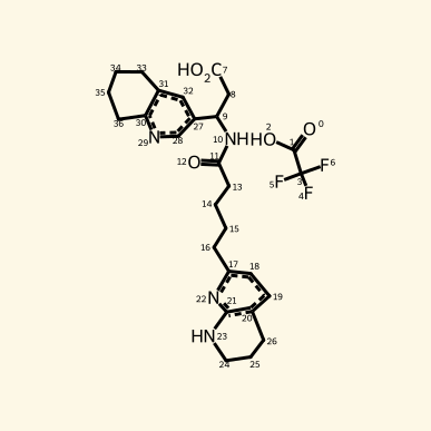 O=C(O)C(F)(F)F.O=C(O)CC(NC(=O)CCCCc1ccc2c(n1)NCCC2)c1cnc2c(c1)CCCC2